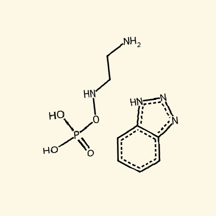 NCCNOP(=O)(O)O.c1ccc2[nH]nnc2c1